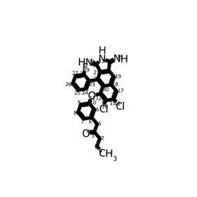 CCCC(=O)Cc1cccc(Oc2c(Cl)c(Cl)cc3cc4c(c(-c5ccccc5F)c23)C(=N)NC4=N)c1